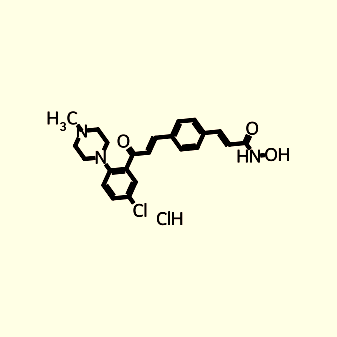 CN1CCN(c2ccc(Cl)cc2C(=O)C=Cc2ccc(C=CC(=O)NO)cc2)CC1.Cl